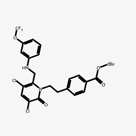 CC(C)(C)OC(=O)c1ccc(CCn2c(CNc3cccc(OC(F)(F)F)c3)c(Cl)cc(Cl)c2=O)cc1